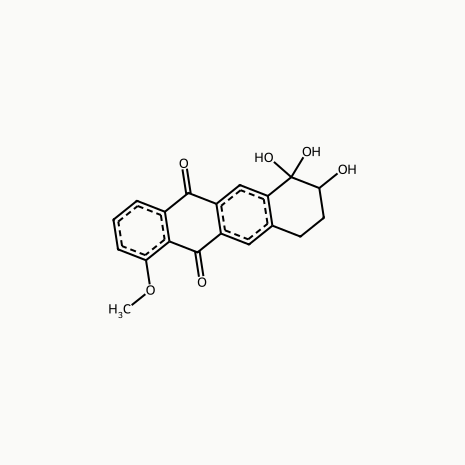 COc1cccc2c1C(=O)c1cc3c(cc1C2=O)C(O)(O)C(O)CC3